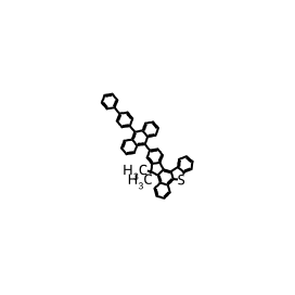 CC1(C)c2cc(-c3c4ccccc4c(-c4ccc(-c5ccccc5)cc4)c4ccccc34)ccc2-c2c1c1ccccc1c1sc3ccccc3c21